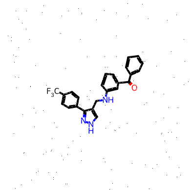 O=C(c1ccccc1)c1cccc(NCc2c[nH]nc2-c2ccc(C(F)(F)F)cc2)c1